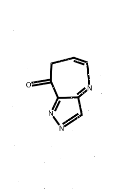 O=C1CC=CN=C2C=NN=C12